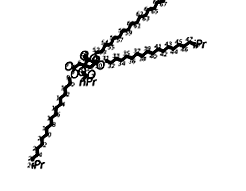 CCCC(=O)OC(CC(=O)OCCCCCCCCCCCCCCCCCC(C)C)(CC(=O)OCCCCCCCCCCCCCCCCCC(C)C)C(=O)OCCCCCCCCCCCCCCCCCC(C)C